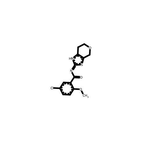 COc1ccc(Cl)cc1C(=O)/N=c1/[nH]c2c(s1)COCC2